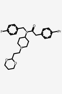 CC(C)c1ccc(CC(=O)N(Cc2ccc(F)cc2)C2CCN(CCC3OCCCO3)CC2)cc1